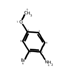 COc1ccc(N)c(Br)c1